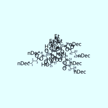 CCCCCCCCCCCCCC(=O)O[C@H](CCCCCCCCCCC)CC(=O)N[C@H](CO)CO[C@@H]1O[C@H](CO)[C@@H](OP(=O)(O)O)[C@H](OC(=O)C[C@@H](CCCCCCCCCCC)OC(=O)CCCCCCCCCCCCC)[C@H]1NC(=O)C[C@@H](CCCCCCCCCCC)OC(=O)CCCCCCCCCCCCC.CCN(CC)CC